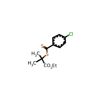 CCOC(=O)C(C)(C)SC(=S)c1ccc(Cl)cc1